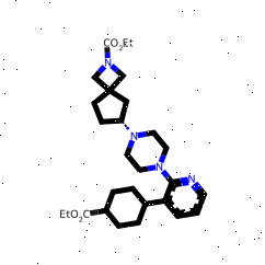 CCOC(=O)C1CCC(c2cccnc2N2CCN([C@@H]3CCC4(C3)CN(C(=O)OCC)C4)CC2)CC1